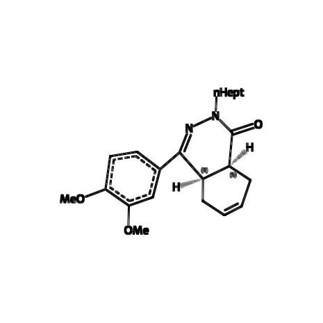 CCCCCCCN1N=C(c2ccc(OC)c(OC)c2)[C@@H]2CC=CC[C@@H]2C1=O